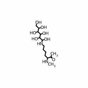 CNC(CCCCNC(O)C(O)C(O)C(O)C(O)CO)C(C)=O